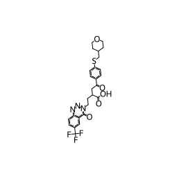 O=C(CC(CCn1nnc2ccc(C(F)(F)F)cc2c1=O)C(=O)O)c1ccc(SCC2CCOCC2)cc1